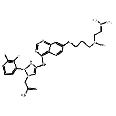 CN(C)CCN(C)CCCOc1ccc2c(NC3=CN(CC(N)=O)N(c4cccc(F)c4F)N3)ncnc2c1